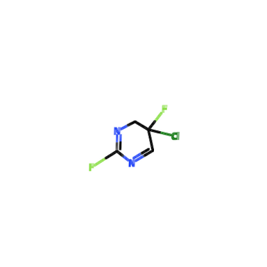 FC1=NCC(F)(Cl)C=N1